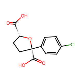 O=C(O)[C@H]1CC[C@](C(=O)O)(c2ccc(Cl)cc2)O1